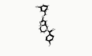 O=C(c1ccc(F)cc1)N1CCCn2nc(OCc3cccc(F)c3)cc2C1